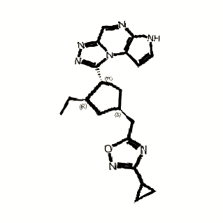 CC[C@@H]1C[C@H](Cc2nc(C3CC3)no2)C[C@H]1c1nnc2cnc3[nH]ccc3n12